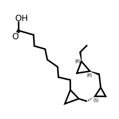 CC[C@@H]1C[C@@H]1CC1C[C@@H]1CC1CC1CCCCCCCC(=O)O